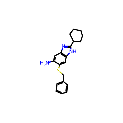 Nc1cc2nc(C3CCCCC3)[nH]c2cc1SCc1ccccc1